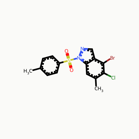 Cc1ccc(S(=O)(=O)n2ncc3c(Br)c(Cl)c(C)cc32)cc1